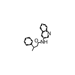 CC(CC(=O)Nc1cnc2ccccc2c1)c1ccccc1